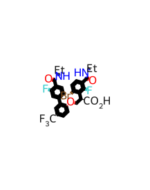 CCNC(=O)c1ccc(-c2cc(C(F)(F)F)ccc2OC[C@@H](C(=O)O)c2c(Br)ccc(C(=O)NCC)c2F)cc1F